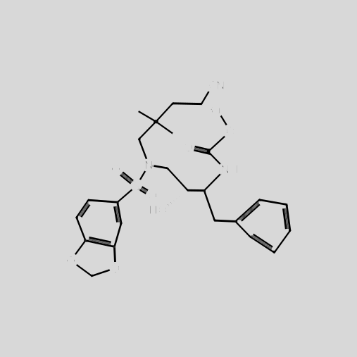 CC(C)(CCC#N)CN(C[C@@H](O)C(Cc1ccccc1)NC(=O)OC(C)(C)C)S(=O)(=O)c1ccc2c(c1)OCO2